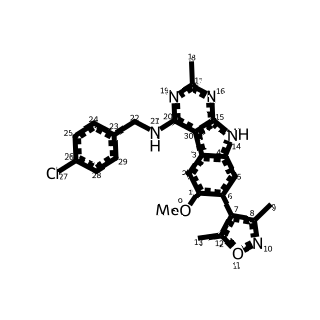 COc1cc2c(cc1-c1c(C)noc1C)[nH]c1nc(C)nc(NCc3ccc(Cl)cc3)c12